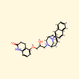 O=C1CCc2c(cccc2OCC(O)CN2CC3C/C=C\CC2CN3c2ccc3ccccc3c2)N1